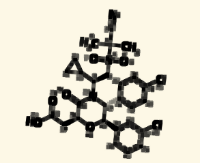 CC(C)(C#N)S(=O)(=O)C[C@H](C1CC1)N1C(=O)[C@H](CC(=O)O)O[C@H](c2cccc(Cl)c2)[C@H]1c1ccc(Cl)cc1